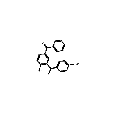 COc1ccc(C(N)c2cc(C(=O)c3ccccc3)ccc2N)cc1